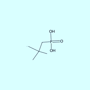 [CH2]C(C)(C)CP(=O)(O)O